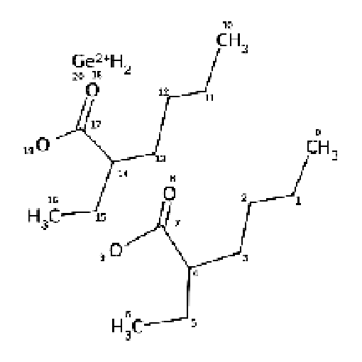 CCCCC(CC)C(=O)[O-].CCCCC(CC)C(=O)[O-].[GeH2+2]